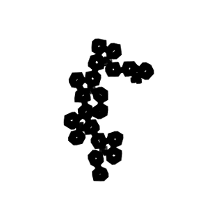 CC1(C)c2ccccc2-c2ccc(-c3cccc(N4c5ccccc5-c5ccccc5-c5ccc(-c6ccc7c(c6)-c6ccccc6-c6ccc(-c8ccc9c(c8)-c8ccccc8N(c8ccccc8)c8cc(-c%10ccc%11c(c%10)-c%10ccccc%10-c%10ccccc%10N%11c%10cccc(-c%11ccccc%11)c%10)ccc8-9)cc6N7c6cccc(-c7ccccc7)c6)cc54)c3)cc21